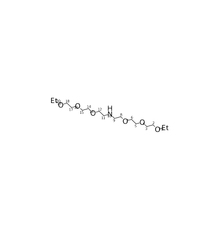 CCOCCOCCOCCNCCOCCOCCOCC